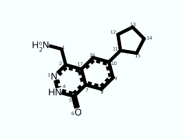 NCc1n[nH]c(=O)c2ccc(C3CCCC3)cc12